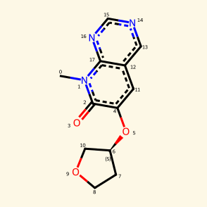 Cn1c(=O)c(O[C@H]2CCOC2)cc2cncnc21